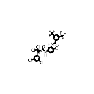 O=C(Nc1cc(NC(=O)[C@H]2[C@H](c3cc(Cl)cc(Cl)c3)C2(Cl)Cl)ccc1Cl)c1cc(C(F)(F)F)cc(C(F)(F)F)c1